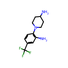 Nc1cc(C(F)(F)F)ccc1N1CCC(N)CC1